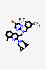 Cc1cccc2cc(CN(Cc3cc(C(F)(F)F)cc(C(F)(F)F)c3)c3ncc(Br)cn3)c(N(CC3CC3)CC3CC3)nc12